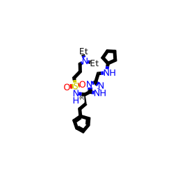 CCN(CC)CCCS(=O)(=O)N[C@H](CCc1ccccc1)c1nc(CNC2CCCC2)n[nH]1